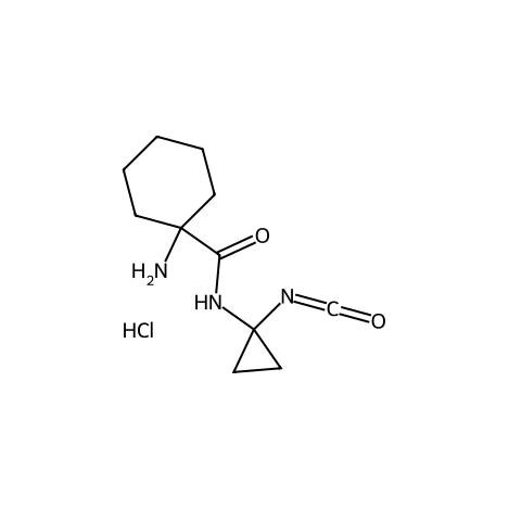 Cl.NC1(C(=O)NC2(N=C=O)CC2)CCCCC1